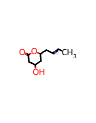 C/C=C/CC1CC(O)CC(=O)O1